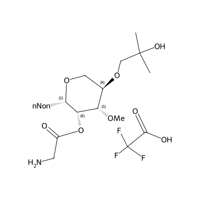 CCCCCCCCC[C@@H]1OC[C@@H](OCC(C)(C)O)[C@H](OC)[C@@H]1OC(=O)CN.O=C(O)C(F)(F)F